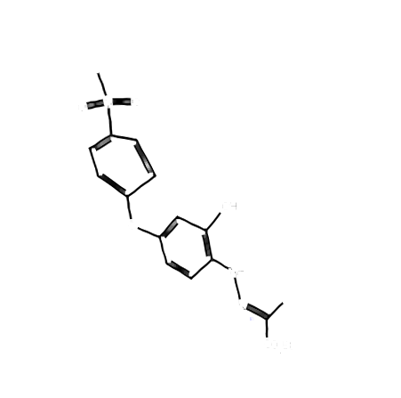 CCOC(=O)/C(C)=N/Nc1ccc(Oc2ccc(S(C)(=O)=O)cc2)cc1O